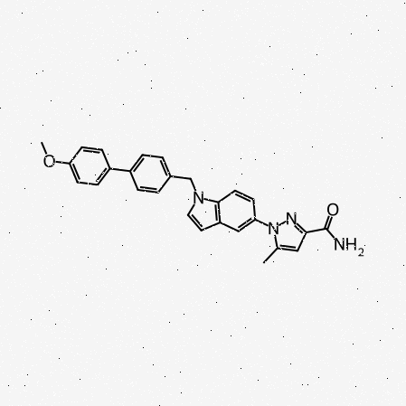 COc1ccc(-c2ccc(Cn3ccc4cc(-n5nc(C(N)=O)cc5C)ccc43)cc2)cc1